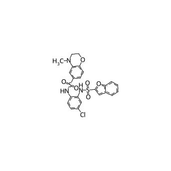 CN1CCOc2ccc(S(=O)(=O)Nc3ccc(Cl)cc3NS(=O)(=O)c3cc4ccccc4o3)cc21